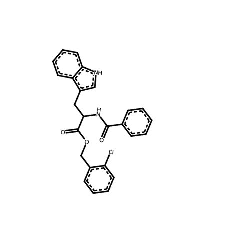 O=C(NC(Cc1c[nH]c2ccccc12)C(=O)OCc1ccccc1Cl)c1ccccc1